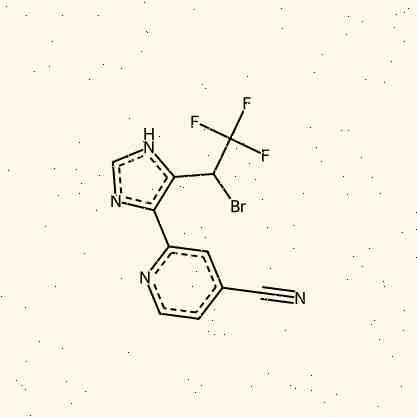 N#Cc1ccnc(-c2nc[nH]c2C(Br)C(F)(F)F)c1